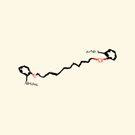 CC(=O)Nc1ccccc1OCCCCCCCCCCCOc1ccccc1NC(C)=O